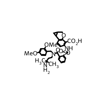 COc1ccc(CN(CCC(C)(C)N)C(=O)c2ccccc2S(=O)(=O)Nc2ccc3c(c2C(=O)O)OCC2CC32)c(OC)c1